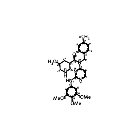 COc1cc(Nc2nccc(N(Cc3ccc(C)cc3)C(=O)C3CNCC(C)C3)n2)cc(OC)c1OC